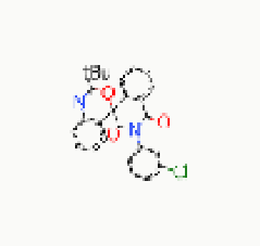 CC(C)(C)C1=Nc2ccccc2C2(O1)C(=O)N(c1cccc(Cl)c1)C(=O)c1ccccc12